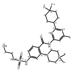 Cc1cc(NC(=O)c2ccc(NS(=O)(=O)NCCO)cc2N2CC[Si](C)(C)CC2)nc(C2CCC(F)(F)CC2)n1